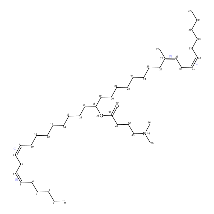 CCCCC/C=C\C/C=C\CCCCCCCCC(CCCCCCCC/C(C)=C\C/C=C\CCCCC)OC(=O)CCCN(C)C